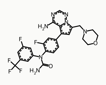 NC(=O)N(c1cc(F)cc(C(F)(F)F)c1)c1ccc(-c2cc(CN3CCOCC3)n3ncnc(N)c23)cc1F